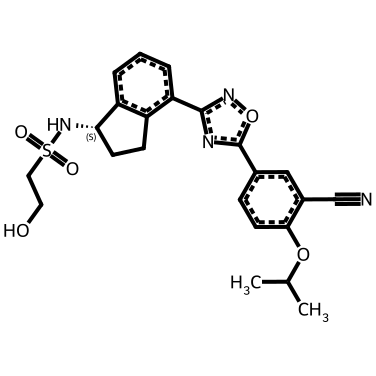 CC(C)Oc1ccc(-c2nc(-c3cccc4c3CC[C@@H]4NS(=O)(=O)CCO)no2)cc1C#N